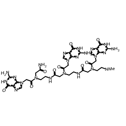 CNCCN(CC(=O)NCCN(CC(=O)NCCN(CC(N)=O)C(=O)Cn1cnc2c(=O)[nH]c(N)nc21)C(=O)Cn1cnc2c(=O)[nH]c(N)nc21)C(=O)Cn1cnc2c(=O)[nH]c(N)nc21